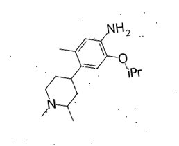 Cc1cc(N)c(OC(C)C)cc1C1CCN(C)C(C)C1